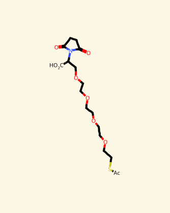 CC(=O)SCCOCCOCCOCCOCC(C(=O)O)N1C(=O)CCC1=O